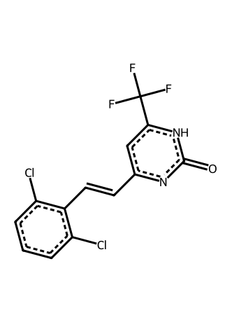 O=c1nc(C=Cc2c(Cl)cccc2Cl)cc(C(F)(F)F)[nH]1